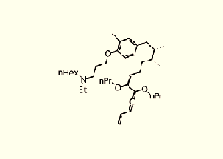 C=CC=C=C(OCCC)/C(=C\CC[C@@H](C)[C@@H](C)Cc1ccc(OCCCN(CC)CCCCCC)c(C)c1)OCCC